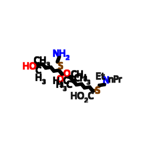 CCCN(CC)CCSC(CCCCC(C)(C)C(C)(C)OC(=O)C(CCCCC(C)(C)O)SCCN)C(=O)O